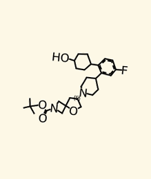 CC(C)(C)OC(=O)N1CC2(C[C@H](N3CCC(c4cc(F)ccc4C4CCC(O)CC4)CC3)CO2)C1